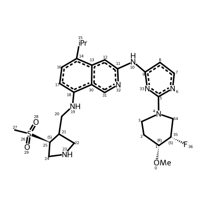 CO[C@@H]1CCN(c2nccc(Nc3cc4c(C(C)C)ccc(NCC5CNC[C@H]5S(C)(=O)=O)c4cn3)n2)C[C@@H]1F